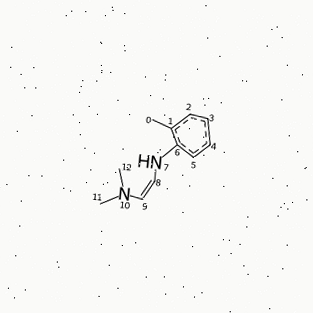 Cc1ccccc1N/C=C\N(C)C